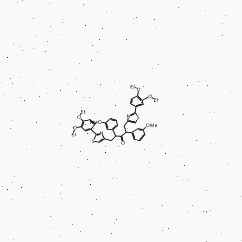 CCOc1ccc(-c2nc(CC(C(=O)C(Cc3csc(-c4ccc(OCC)c(OCC)c4)n3)c3cccc(OC)c3)c3cccc(OC)c3)cs2)cc1OCC